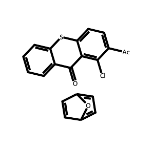 CC(=O)c1ccc2sc3ccccc3c(=O)c2c1Cl.c1cc2ccc1o2